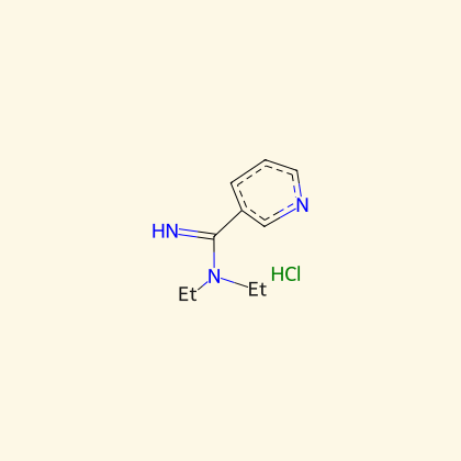 CCN(CC)C(=N)c1cccnc1.Cl